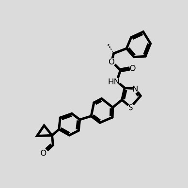 C[C@@H](OC(=O)Nc1ncsc1-c1ccc(-c2ccc(C3(C=O)CC3)cc2)cc1)c1ccccc1